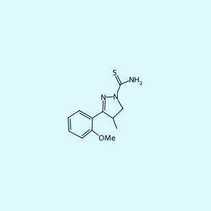 COc1ccccc1C1=NN(C(N)=S)CC1C